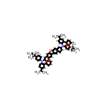 CC(C)c1ccc(N(c2ccc([Si](C)(C)C)cc2)c2ccc3cc4c(cc3c2)oc2cc3cc(N(c5ccc([Si](C)(C)C)cc5)c5ccc(C(C)C)cc5-c5ccccc5)ccc3cc24)c(-c2ccccc2)c1